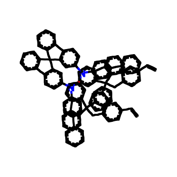 C=Cc1ccc(CC2(c3ccccc3)c3ccccc3-c3ccc(N(c4ccc(-c5ccccc5)cc4)c4ccc5c(c4)C4(c6ccccc6-5)c5ccccc5-c5ccc(N(c6ccc(-c7ccccc7)cc6)c6ccc7c(c6)C(Cc6ccc(C=C)cc6)(c6ccccc6)c6ccccc6-7)cc54)cc32)cc1